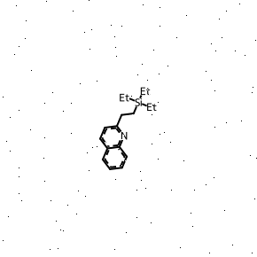 CC[Si](CC)(CC)CCc1ccc2ccccc2n1